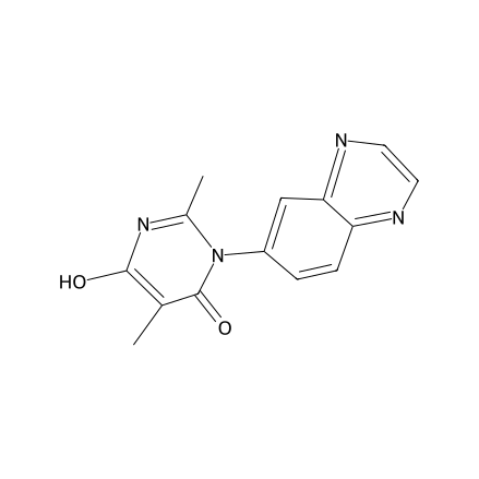 Cc1c(O)nc(C)n(-c2ccc3nccnc3c2)c1=O